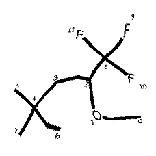 COC(CC(C)(C)C)C(F)(F)F